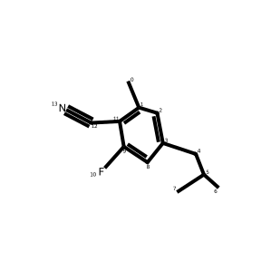 Cc1cc(CC(C)C)cc(F)c1C#N